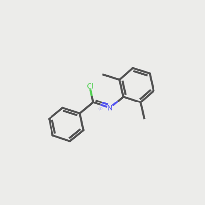 Cc1cccc(C)c1/N=C(\Cl)c1ccccc1